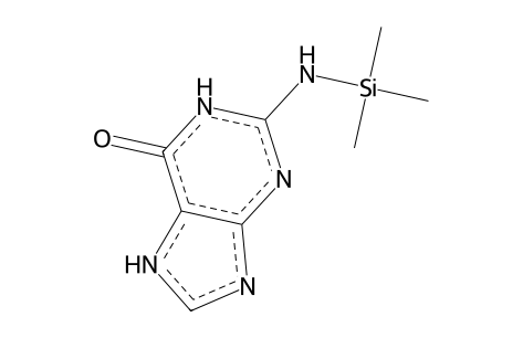 C[Si](C)(C)Nc1nc2nc[nH]c2c(=O)[nH]1